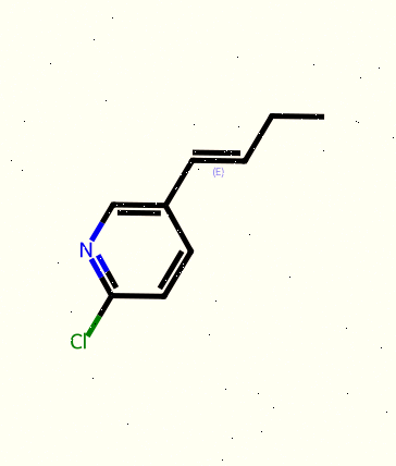 CC/C=C/c1ccc(Cl)nc1